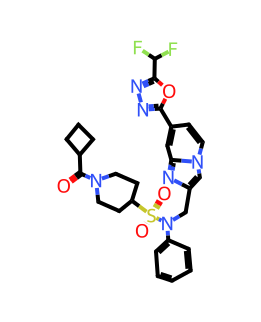 O=C(C1CCC1)N1CCC(S(=O)(=O)N(Cc2cn3ccc(-c4nnc(C(F)F)o4)cc3n2)c2ccccc2)CC1